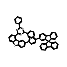 c1ccc(-c2nc(-c3ccccc3)nc(-c3cccc4oc5ccc(-c6ccc(-c7ccc8c(c7)C7(c9ccccc9-c9ccccc97)c7ccccc7-8)cc6)cc5c34)n2)cc1